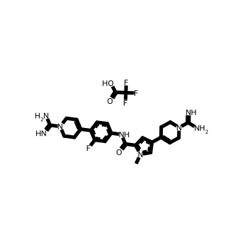 Cn1cc(C2=CCN(C(=N)N)CC2)cc1C(=O)Nc1ccc(C2=CCN(C(=N)N)CC2)c(F)c1.O=C(O)C(F)(F)F